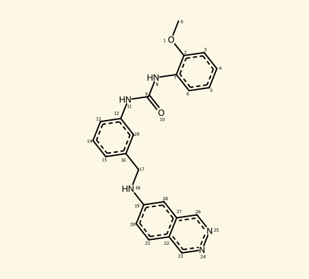 COc1ccccc1NC(=O)Nc1cccc(CNc2ccc3cnncc3c2)c1